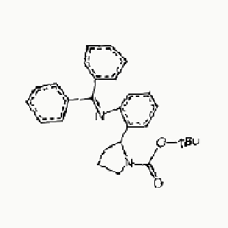 CC(C)(C)OC(=O)N1CCCC1c1ccccc1N=C(c1ccccc1)c1ccccc1